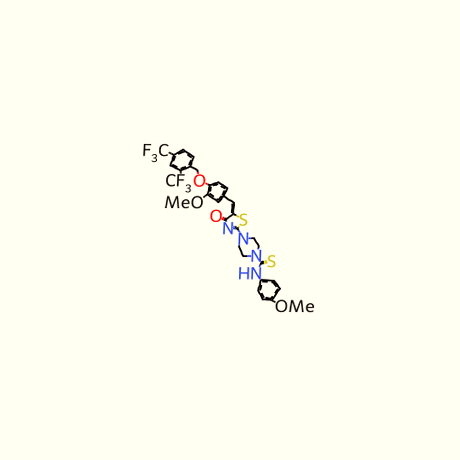 COc1ccc(NC(=S)N2CCN(C3=NC(=O)/C(=C\c4ccc(OCc5ccc(C(F)(F)F)cc5C(F)(F)F)c(OC)c4)S3)CC2)cc1